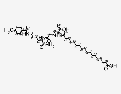 Cc1ccc(C(=O)NCCCCC(NC(=O)CCCC(NC(=O)CCCCCCCCCCCCCCCCC(=O)O)C(=O)O)C(N)=O)cc1